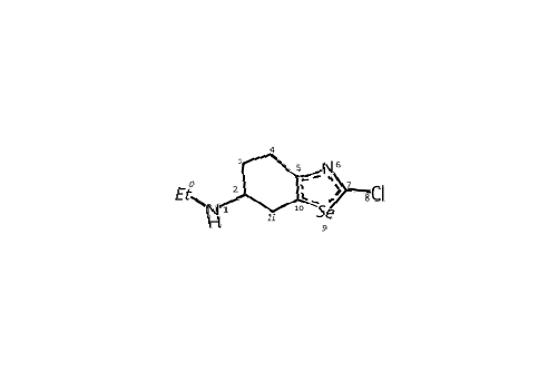 CCNC1CCc2nc(Cl)[se]c2C1